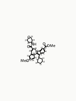 COC(=O)c1ccc2c(C3CCCCC3)c3n(c2c1)CC(C(=O)NC1CCOCC1)=Cc1cc(OC)ccc1-3